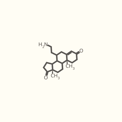 C[C@]12CCC(=O)C=C1CC(CCN)C1C2CC[C@]2(C)C(=O)CCC12